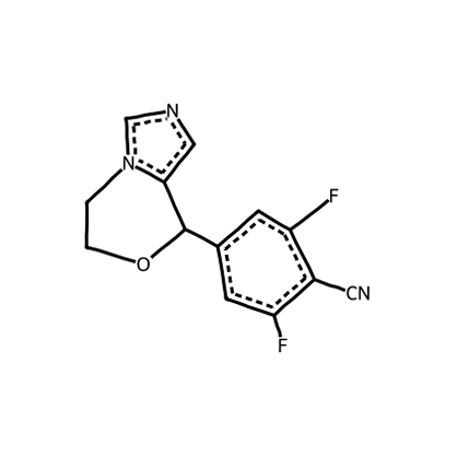 N#Cc1c(F)cc(C2OCCn3cncc32)cc1F